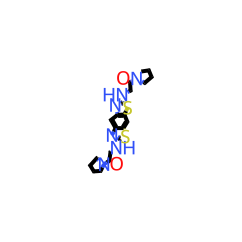 O=C(CNc1nc2cc3nc(NCC(=O)N4CCCC4)sc3cc2s1)N1CCCC1